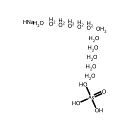 O.O.O.O.O.O.O.O.O.O.O.O.O=[As](O)(O)O.[NaH]